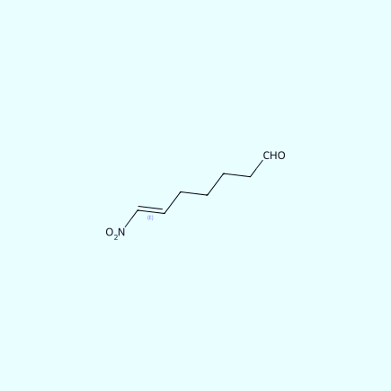 O=CCCCC/C=C/[N+](=O)[O-]